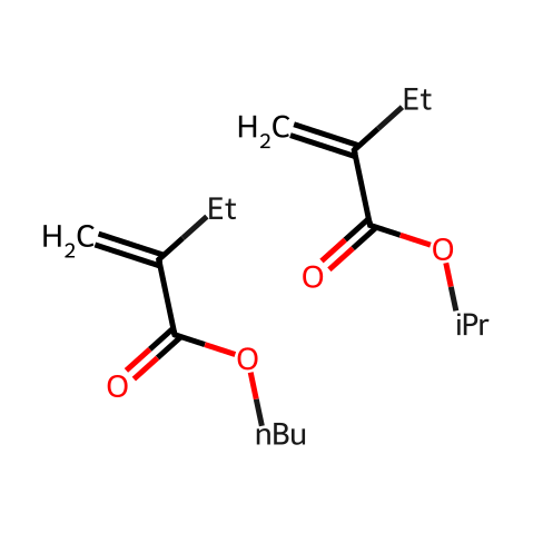 C=C(CC)C(=O)OC(C)C.C=C(CC)C(=O)OCCCC